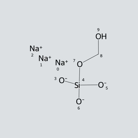 [Na+].[Na+].[Na+].[O-][Si]([O-])([O-])OCO